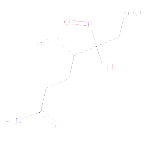 CCCCCCCCCC(O)(P=O)C(CCC(N)=O)C(=O)O